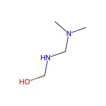 CN(C)CNCO